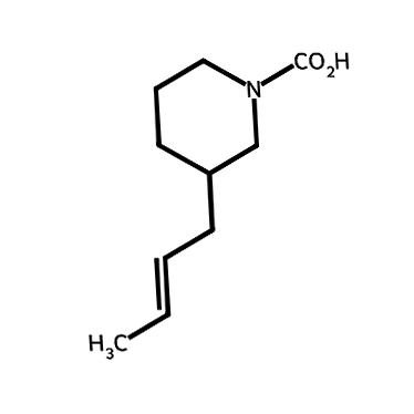 CC=CCC1CCCN(C(=O)O)C1